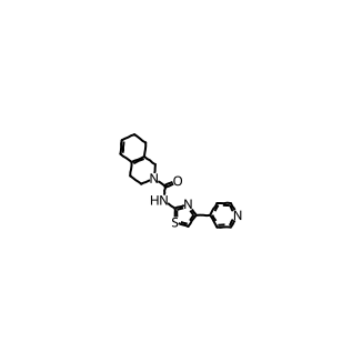 O=C(Nc1nc(-c2ccncc2)cs1)N1CCC2=C(CCC=C2)C1